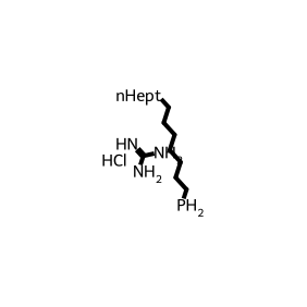 CCCCCCCCCCCCCCP.Cl.N=C(N)N